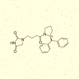 O=C1CN(CCCC(=O)N2CCC[C@H]2C(c2ccccc2)c2ccccc2)C(=O)N1